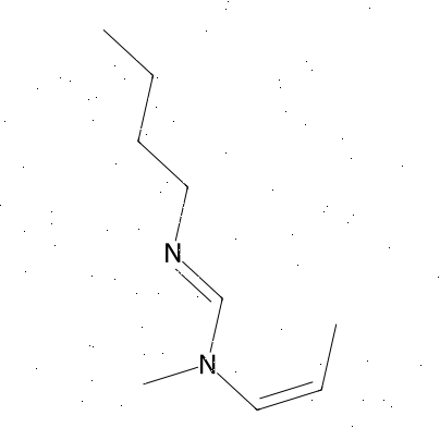 C/C=C\N(C)/C=N/CCCC